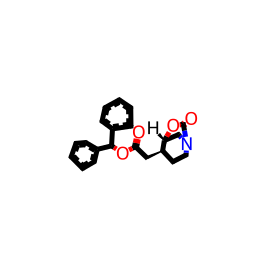 O=C(C[C@@H]1CCN2C[C@H]1OC2=O)OC(c1ccccc1)c1ccccc1